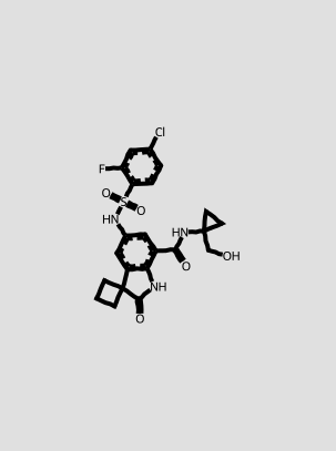 O=C(NC1(CO)CC1)c1cc(NS(=O)(=O)c2ccc(Cl)cc2F)cc2c1NC(=O)C21CCC1